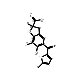 Cc1ccc(C(=O)c2cc3c(c(Cl)c2Cl)OC(C)(C(=O)O)C3)s1